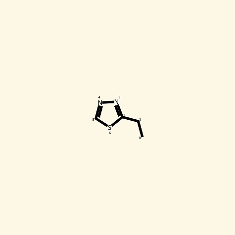 CCc1nncs1